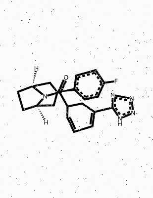 O=C(C1C=CC=C(c2nnn[nH]2)C1)N1[C@@H]2CC[C@H]1C[C@@H](c1ccc(F)cc1)C2